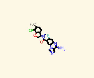 CN(C(=O)c1cc2c(cc1F)nc(N)c1cncn12)C1COc2c1ccc(C(F)(F)F)c2Cl